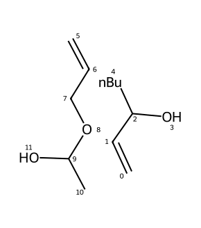 C=CC(O)CCCC.C=CCOC(C)O